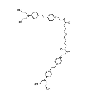 CN(CC[n+]1ccc(/C=C/c2ccc(N(CCO)CCO)cc2)cc1)C(=O)CCCSSCCCC(=O)N(C)CC[n+]1ccc(/C=C/c2ccc(N(CCO)CCO)cc2)cc1